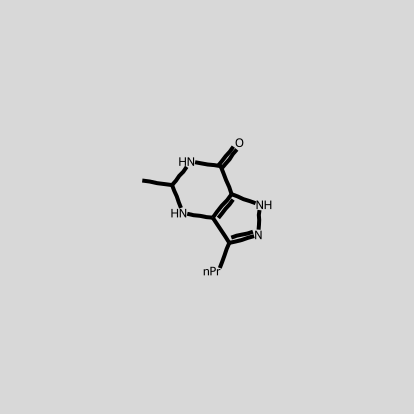 CCCc1n[nH]c2c1NC(C)NC2=O